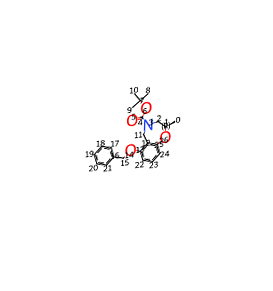 C[C@@H]1CN(C(=O)OC(C)(C)C)Cc2c(OCc3ccccc3)cccc2O1